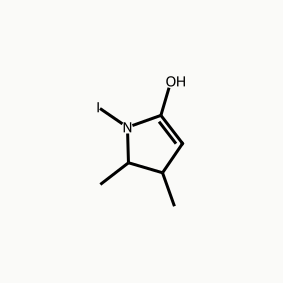 CC1C=C(O)N(I)C1C